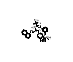 CNC(=O)[C@]1(Cc2ccccc2)CN(C(=O)[C@@H](COc2cccc3ccccc23)NC(=O)C(C)(C)N)CCC1=N